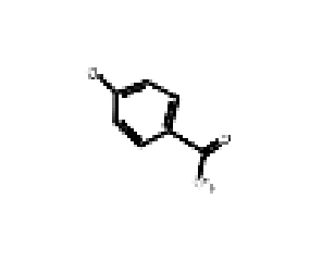 O=C(c1ccc(Cl)cc1)C(F)(F)F